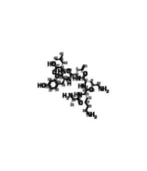 C=CC[C@H](NC(=O)[C@H](CCCN)NC(=O)[C@H](CCCCN)NC(=O)[C@H](C)N)C(=O)N[C@@H](Cc1ccc(O)cc1)C(=O)N[C@@H](CC(C)C)C(=O)O